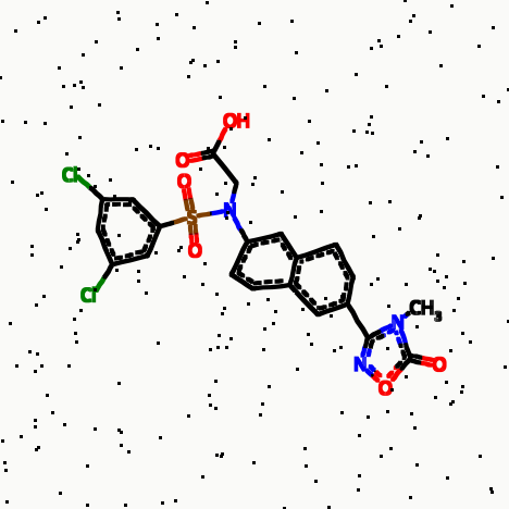 Cn1c(-c2ccc3cc(N(CC(=O)O)S(=O)(=O)c4cc(Cl)cc(Cl)c4)ccc3c2)noc1=O